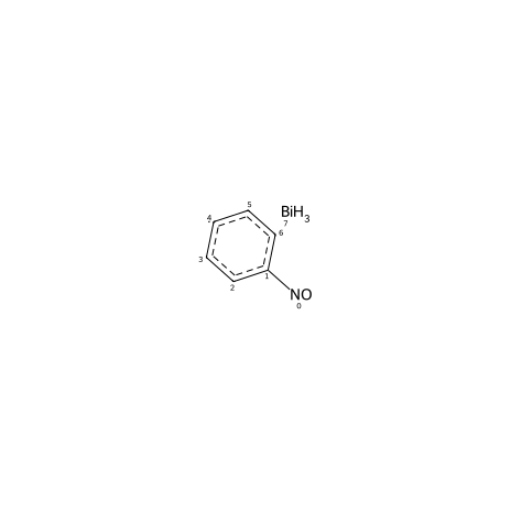 O=Nc1cc[c]cc1.[BiH3]